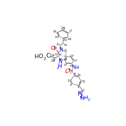 NN=Cc1ccc(C(=O)Nc2ccc3c(c2)NC(CC(=O)O)C(=O)N(CCc2ccccc2)C3)cc1